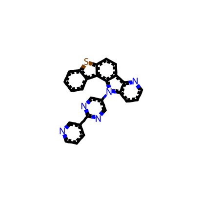 c1cncc(-c2ncc(-n3c4cccnc4c4ccc5sc6ccccc6c5c43)cn2)c1